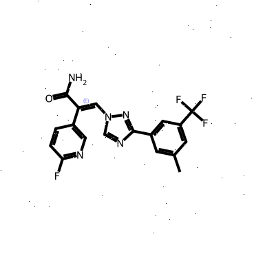 Cc1cc(-c2ncn(/C=C(/C(N)=O)c3ccc(F)nc3)n2)cc(C(F)(F)F)c1